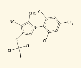 N#Cc1c(SC(F)(Cl)Cl)cn(-c2c(Cl)cc(C(F)(F)F)cc2Cl)c1C=O